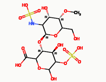 CO[C@@H]1C(CO)O[C@@H](O[C@H]2C(C(=O)O)OC(O)C(OS(=O)(=O)O)[C@@H]2O)C(NS(=O)(=O)O)[C@@H]1O